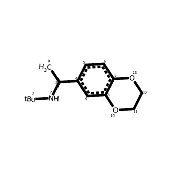 CC(NC(C)(C)C)c1ccc2c(c1)OCCO2